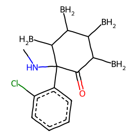 BC1C(=O)C(NC)(c2ccccc2Cl)C(B)C(B)C1B